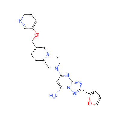 Nc1cc(N2CCN3CC(COc4cccnc4)CCC3C2)nc2nc(-c3ccco3)nn12